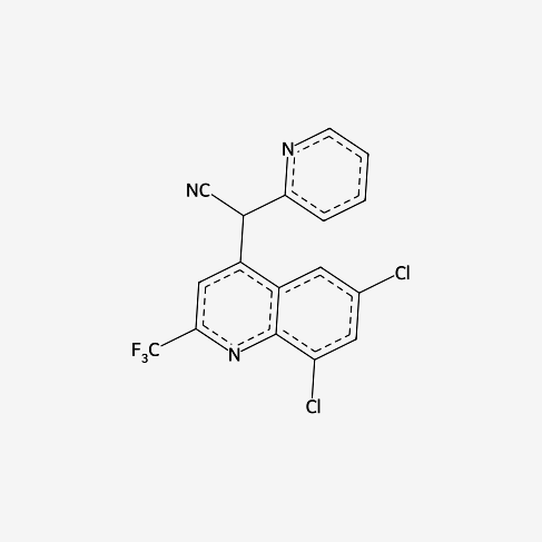 N#CC(c1ccccn1)c1cc(C(F)(F)F)nc2c(Cl)cc(Cl)cc12